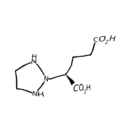 O=C(O)CC[C@@H](C(=O)O)N1NCCN1